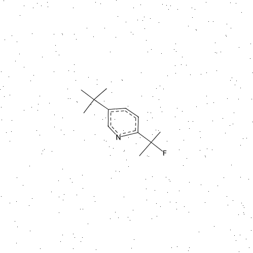 CC(C)(C)c1ccc(C(C)(C)F)nc1